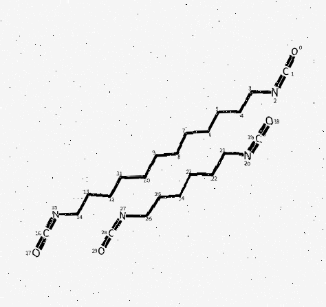 O=C=NCCCCCCCCCCCCN=C=O.O=C=NCCCCCCN=C=O